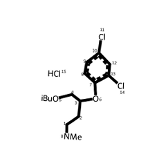 CNCCC(COCC(C)C)Oc1ccc(Cl)cc1Cl.Cl